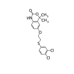 CC1(C)OC(=O)Nc2ccc(OCCSc3ccc(Cl)c(Cl)c3)cc21